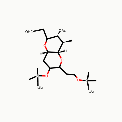 CC(=O)O[C@H]1C(CC=O)O[C@H]2CC(O[Si](C)(C)C(C)(C)C)C(CCO[Si](C)(C)C(C)(C)C)O[C@H]2[C@@H]1C